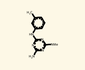 CNc1nc(N)nc(Nc2cccc(C)c2)n1